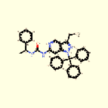 CC(NC(=O)Nc1cc2c(cn1)c(CC#N)nn2C(c1ccccc1)(c1ccccc1)c1ccccc1)c1ccccc1